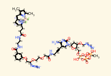 CC1=C\c2c(C)cc(C)n2[B-](F)(F)/[NH+]=C(CCC(=O)NCCNC(=O)c2cccc(OCC(N=[N+]=[N-])OCCOCC(=O)NCC#Cc3cn([C@H]4CC(OCN=[N+]=[N-])[C@@H](COP(=O)(O)OP(=O)(O)OP(C)(=O)O)O4)c(=O)nc3N)c2)/C=C\1